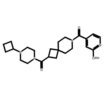 COc1cc(C(=O)N2CCC3(CC2)CC(C(=O)N2CCN(C4CCC4)CC2)C3)ccn1